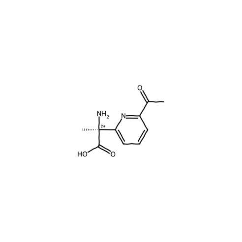 CC(=O)c1cccc([C@](C)(N)C(=O)O)n1